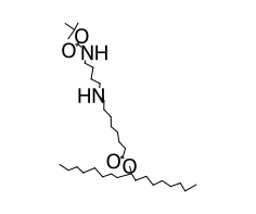 CCCCCCCCC(CCCCCCCC)OC(=O)CCCCCCCNCCCCNC(=O)OC(C)(C)C